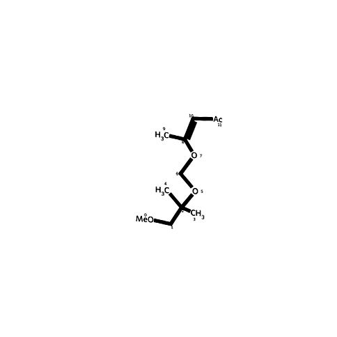 COCC(C)(C)OCO/C(C)=C\C(C)=O